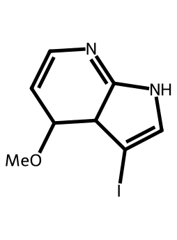 COC1C=CN=C2NC=C(I)C21